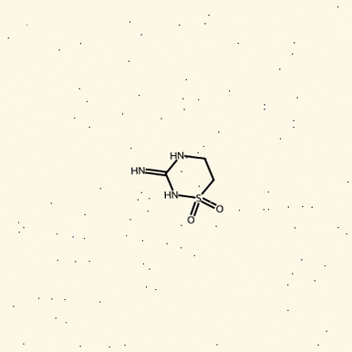 N=C1NCCS(=O)(=O)N1